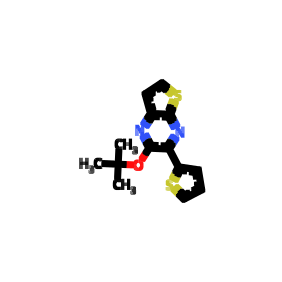 CC(C)(C)Oc1nc2ccsc2nc1-c1cccs1